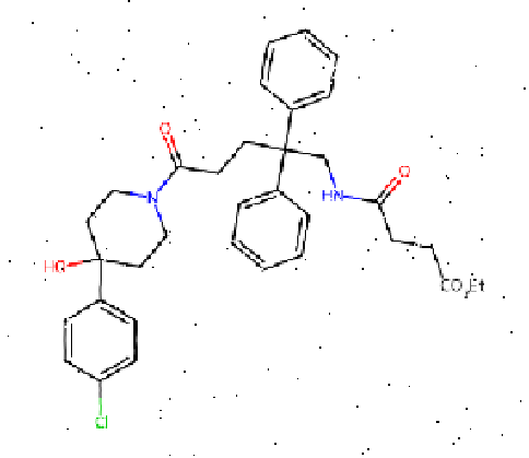 CCOC(=O)CCC(=O)NCC(CCC(=O)N1CCC(O)(c2ccc(Cl)cc2)CC1)(c1ccccc1)c1ccccc1